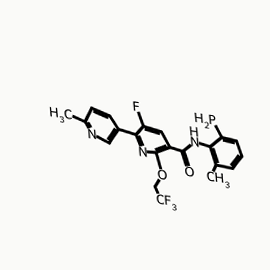 Cc1ccc(-c2nc(OCC(F)(F)F)c(C(=O)Nc3c(C)cccc3P)cc2F)cn1